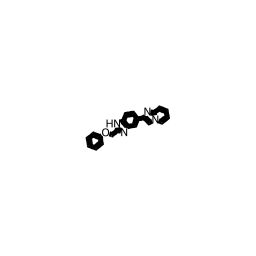 c1ccc(OCc2nc3cc(-c4cn5ccccc5n4)ccc3[nH]2)cc1